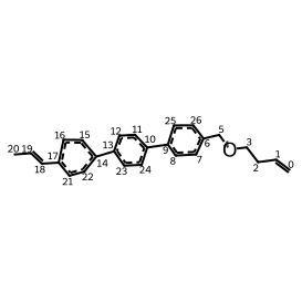 C=CCCOCc1ccc(-c2ccc(-c3ccc(C=CC)cc3)cc2)cc1